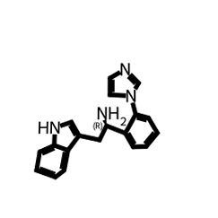 N[C@H](Cc1c[nH]c2ccccc12)c1ccccc1-n1ccnc1